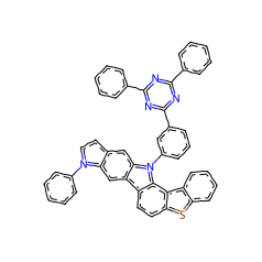 c1ccc(-c2nc(-c3ccccc3)nc(-c3cccc(-n4c5cc6ccn(-c7ccccc7)c6cc5c5ccc6sc7ccccc7c6c54)c3)n2)cc1